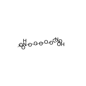 CC(C)(C)OC(=O)NCCOCCOCCOCCOCCOc1ccnc(C(=O)O)c1